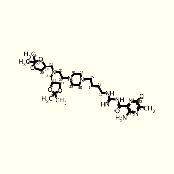 Cc1nc(N)c(C(=O)NC(=N)NCCCCN2CCN(CCN(C[C@H]3COC(C)(C)O3)C[C@H]3COC(C)(C)O3)CC2)nc1Cl